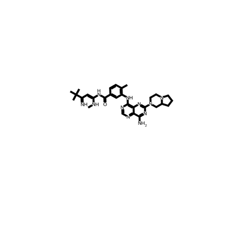 CN/C(=C\C(=N)C(C)(C)C)NC(=O)c1ccc(C)c(Nc2ncnc3c(N)nc(N4CCN5CCCC5C4)nc23)c1